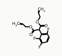 C=CCOC(=O)C(C(=O)OCC=C)c1c(F)ccc(F)c1F